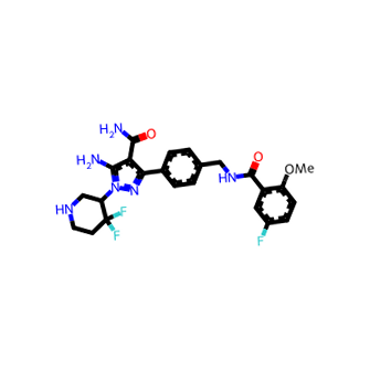 COc1ccc(F)cc1C(=O)NCc1ccc(-c2nn(C3CNCCC3(F)F)c(N)c2C(N)=O)cc1